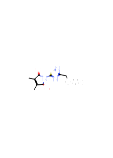 COCc1nsc(N2C(=O)C(C)=C(C)C2=O)n1